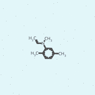 C=CN(C)c1cc(C)ccc1C